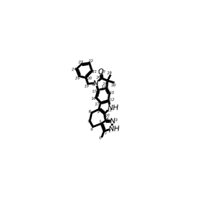 Cc1[nH]nc2c1CCCc1c-2[nH]c2cc3c(cc12)N(Cc1ccccc1)C(=O)C3(C)C